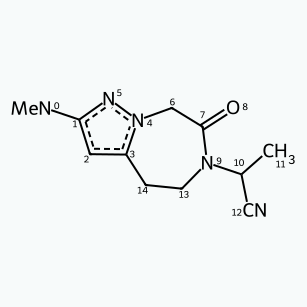 CNc1cc2n(n1)CC(=O)N(C(C)C#N)CC2